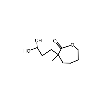 CC1(CCC(O)O)CCCCOC1=O